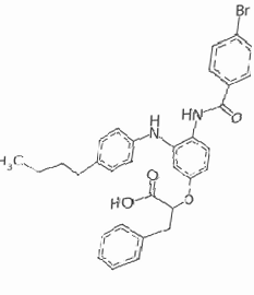 CCCCc1ccc(Nc2cc(OC(Cc3ccccc3)C(=O)O)ccc2NC(=O)c2ccc(Br)cc2)cc1